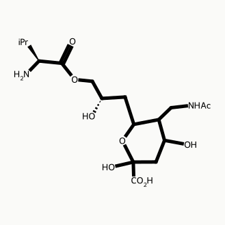 CC(=O)NCC1C(O)CC(O)(C(=O)O)OC1C[C@H](O)COC(=O)[C@@H](N)C(C)C